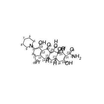 CC(C)c1cc(N2CCCCC2)c(O)c2c1C[C@H]1C[C@H]3CC(O)=C(C(N)=O)C(=O)[C@@]3(O)C(O)=C1C2=O